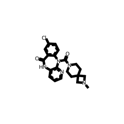 CN1CC2(CCN(C(=O)N3c4ccc(Cl)cc4C(=O)Nc4cccnc43)CC2)C1